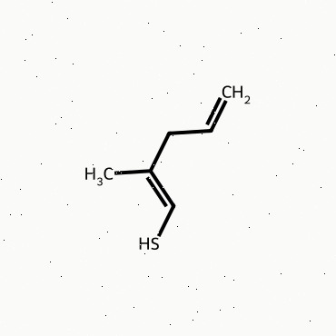 C=CCC(C)=CS